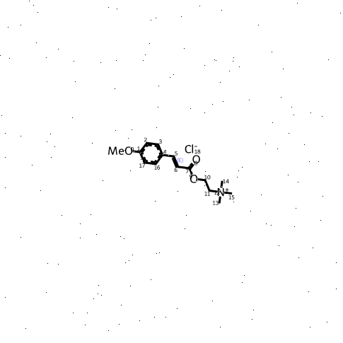 COc1ccc(/C=C/C(=O)OCC[N+](C)(C)C)cc1.[Cl-]